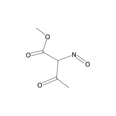 COC(=O)C(N=O)C(C)=O